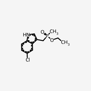 CCOP(C)(=O)Cc1c[nH]c2ccc(Cl)cc12